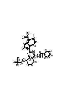 Cc1cc2c(C(N)=O)cccc2n1-c1nc(NCc2ccccc2)c2c(n1)[C@@H](OCC(F)(F)F)CCC2